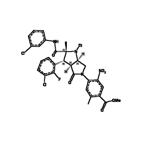 CCN1[C@H]2CN(c3cc(C)c(C(=O)OC)cc3[N+](=O)[O-])C(=O)[C@H]2[C@H](c2cccc(Cl)c2F)[C@]1(C)C(=O)Nc1cccc(Cl)c1